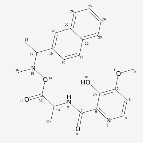 COc1ccnc(C(=O)NC(C)C(=O)ON(C)C(C)c2ccc3ccccc3c2)c1O